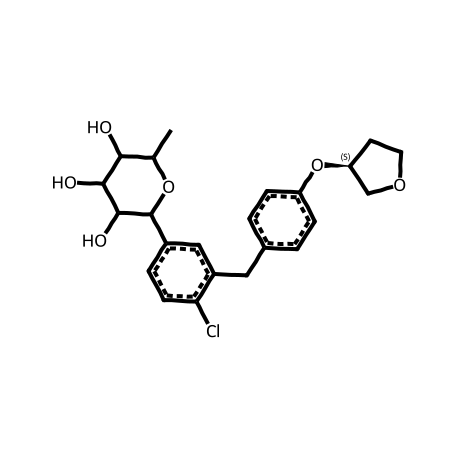 CC1OC(c2ccc(Cl)c(Cc3ccc(O[C@H]4CCOC4)cc3)c2)C(O)C(O)C1O